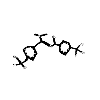 CCC(CC)(CC)c1ccc(C(=N)/N=C(/c2ccc(C(CC)(CC)CC)cc2)N(C)C)cc1